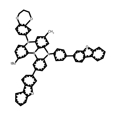 Cc1cc2c3c(c1)N(c1ccc4c(c1)OCCCO4)c1ccc(C(C)(C)C)cc1B3c1cc(-c3ccc4c(c3)oc3ccccc34)ccc1N2c1ccc(-c2ccc3c(c2)oc2ccccc23)cc1